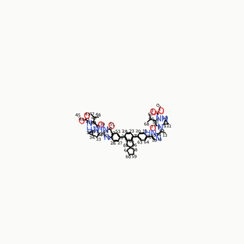 COC(=O)N[C@H](C(=O)N(C1CC1)[C@@H](C)c1ncc(-c2ccc(-c3ccc(-c4ccc5nc([C@@H]6CC7CC7N6C(=O)[C@@H](NC(=O)OC)C(C)C)[nH]c(=O)c5c4)c4c3CC3(CCCC3)C4)cc2)[nH]1)C(C)C